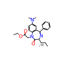 CCOC(=O)CN1C(=O)C([C@@H](C)CC)N=C(c2ccccc2)c2cc(N(C)C)ccc21